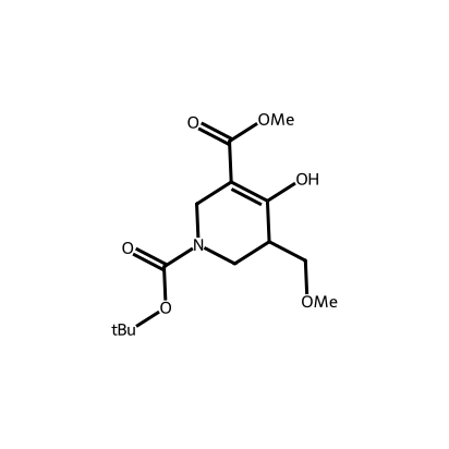 COCC1CN(C(=O)OC(C)(C)C)CC(C(=O)OC)=C1O